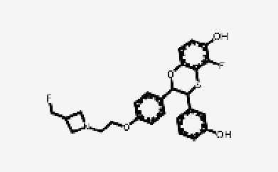 Oc1cccc(C2Sc3c(ccc(O)c3F)OC2c2ccc(OCCN3CC(CF)C3)cc2)c1